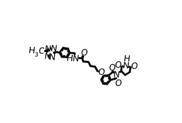 Cc1nnc(-c2ccc(CNC(=O)CCCCCOc3cccc4c3C(=O)N(C3CCC(=O)NC3=O)C4=O)cc2)nn1